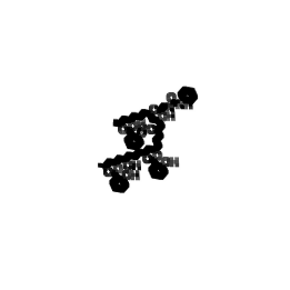 CC1CC(CCCC2CC(CC(O)CCCC3CC(CCCC(O)CC4C[C@H](C)OC(c5ccccc5O)O4)OC(c4ccccc4O)O3)OC(CNC(=O)Nc3ccccc3)O2)OC(c2ccccc2O)O1